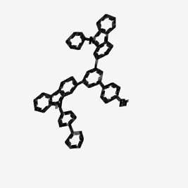 Brc1ccc(-c2cc(-c3ccc4c5ccccc5n(-c5ccccc5)c4c3)cc(-c3ccc4c5ccccc5n(-c5ccc(-c6ccccc6)cc5)c4c3)c2)cc1